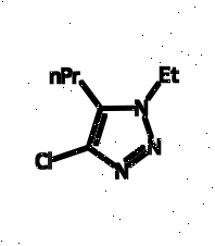 CCCc1c(Cl)nnn1CC